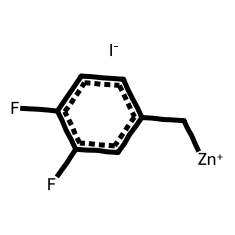 Fc1ccc([CH2][Zn+])cc1F.[I-]